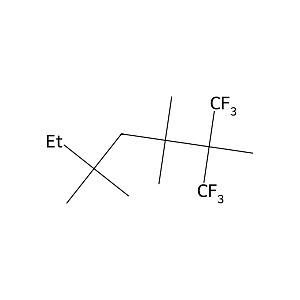 CCC(C)(C)CC(C)(C)C(C)(C(F)(F)F)C(F)(F)F